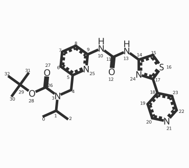 CC(C)N(Cc1cccc(NC(=O)Nc2csc(-c3ccncc3)n2)n1)C(=O)OC(C)(C)C